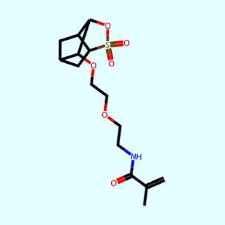 C=C(C)C(=O)NCCOCCOC1C2CC3C1OS(=O)(=O)C3C2